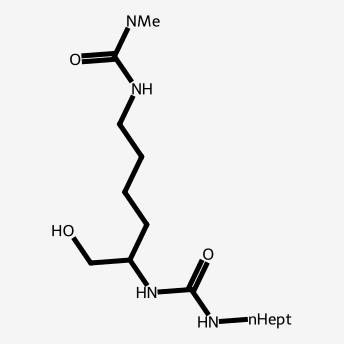 CCCCCCCNC(=O)NC(CO)CCCCNC(=O)NC